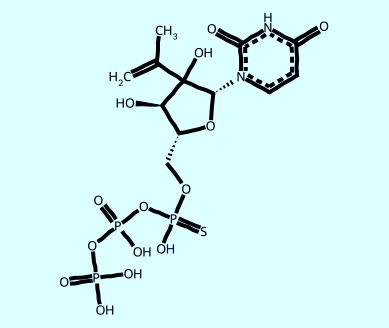 C=C(C)C1(O)[C@H](O)[C@@H](COP(O)(=S)OP(=O)(O)OP(=O)(O)O)O[C@H]1n1ccc(=O)[nH]c1=O